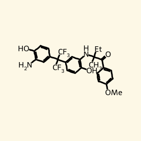 CCC(C)(Nc1cc(C(c2ccc(O)c(N)c2)(C(F)(F)F)C(F)(F)F)ccc1O)C(=O)c1ccc(OC)cc1